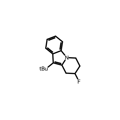 CC(C)(C)c1c2n(c3ccccc13)CCC(F)C2